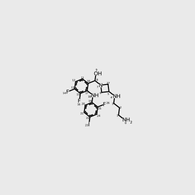 NCCCNC1CN(C(O)c2ccc(F)c(F)c2Nc2ccc(I)cc2F)C1